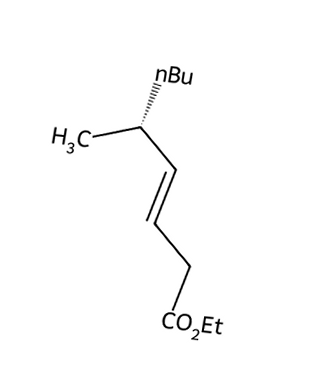 CCCC[C@@H](C)C=CCC(=O)OCC